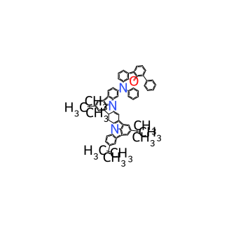 CC(C)(C)c1cc2c3c(c1)c1ccc(N(c4ccccc4)c4cccc5c4oc4c(-c6ccccc6)cccc45)cc1n3C1=Cc3c(n4c5ccc(C(C)(C)C)cc5c5cc(C(C)(C)C)cc3c54)CC12